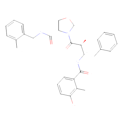 Cc1ccccc1CNC(=O)[C@@H]1COCN1C(=O)[C@@H](O)[C@H](Cc1ccccc1)NC(=O)c1cccc(O)c1C